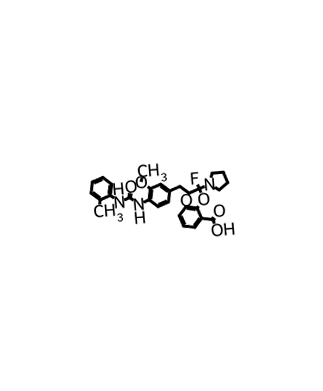 COc1cc(CC(=O)C(F)(Oc2ccccc2C(=O)O)N2CCCC2)ccc1NC(=O)Nc1ccccc1C